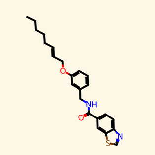 CCCCCC=CCOc1cccc(CNC(=O)c2ccc3ncsc3c2)c1